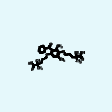 Cc1cc(OCCCC(C)(C)C(=O)O)c(C(=O)c2ccccc2)c(C)c1OCCCC(C)(C)C(=O)O